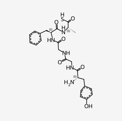 C[C@H](NC(=O)[C@H](Cc1ccccc1)NC(=O)CNC(=O)CNC(=O)[C@@H](N)Cc1ccc(O)cc1)C(=O)S